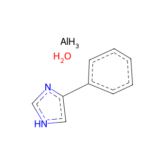 O.[AlH3].c1ccc(-c2c[nH]cn2)cc1